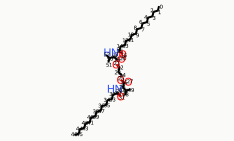 CCCCCCCCCCCCCCCC(=O)NC(C(=O)OCCCOC(=O)C(NC(=O)CCCCCCCCCCCCCCC)C(C)C)C(C)C